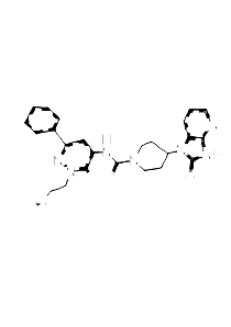 COCCn1nc(-c2ccccc2)cc(NC(=O)N2CCC(n3c(=O)[nH]c4ncccc43)CC2)c1=O